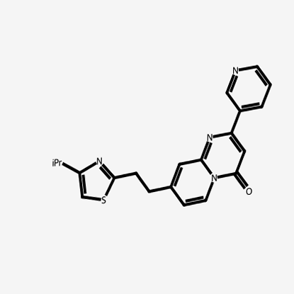 CC(C)c1csc(CCc2ccn3c(=O)cc(-c4cccnc4)nc3c2)n1